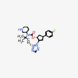 CC(C)(C)N(C(=O)O[C@@H]1CC(c2ccc(F)cc2)CC1n1ncnn1)C1CCCNC1